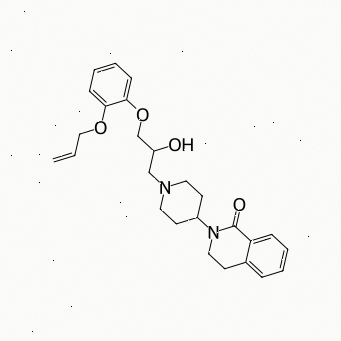 C=CCOc1ccccc1OCC(O)CN1CCC(N2CCc3ccccc3C2=O)CC1